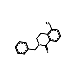 Nc1cccc2c1CCN(Cc1ccccc1)C2=O